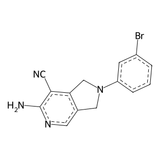 N#Cc1c(N)ncc2c1CN(c1cccc(Br)c1)C2